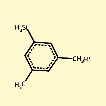 Cc1cc(C)cc([SiH3])c1.[H+]